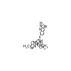 Cc1ncnc2c1CCN2[C@@H]1C[C@H](/C=C/c2ccc3cc(Br)c(N)nc3c2)[C@H]2OC(C)(C)O[C@H]21